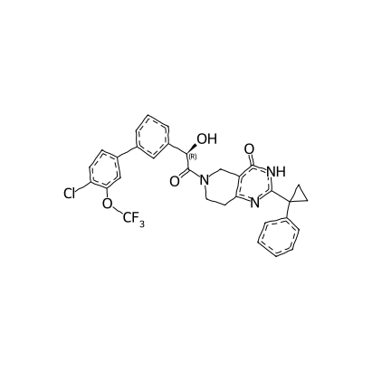 O=C([C@H](O)c1cccc(-c2ccc(Cl)c(OC(F)(F)F)c2)c1)N1CCc2nc(C3(c4ccccc4)CC3)[nH]c(=O)c2C1